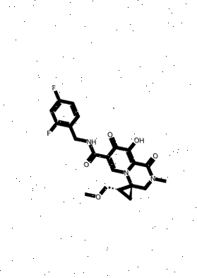 COC[C@H]1C[C@@]12CN(C)C(=O)c1c(O)c(=O)c(C(=O)NCc3ccc(F)cc3F)cn12